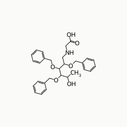 CC(O)C(OCc1ccccc1)C(OCc1ccccc1)C(CNCC(=O)O)OCc1ccccc1